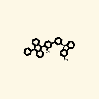 N#Cc1ccc2c(c1)c1ccccc1n2-c1cccc(-c2ccc(-c3c4ccccc4c(-c4ccccc4)c4ccccc34)c(C#N)c2)c1